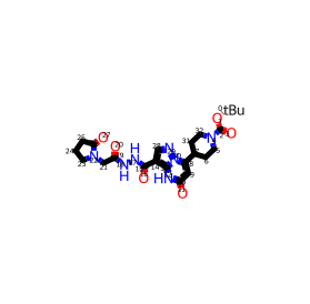 CC(C)(C)OC(=O)N1CCC(c2cc(=O)[nH]c3c(C(=O)NNC(=O)CN4CCCC4=O)cnn23)CC1